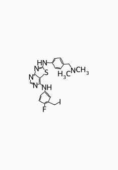 CN(C)Cc1ccc(Nc2nc3ncnc(Nc4ccc(F)c(CI)c4)c3s2)cc1